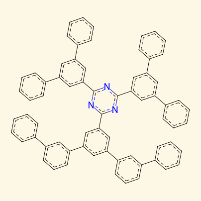 c1ccc(-c2cccc(-c3cc(-c4cccc(-c5ccccc5)c4)cc(-c4nc(-c5cc(-c6ccccc6)cc(-c6ccccc6)c5)nc(-c5cc(-c6ccccc6)cc(-c6ccccc6)c5)n4)c3)c2)cc1